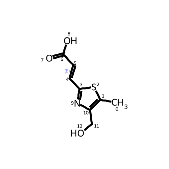 Cc1sc(/C=C/C(=O)O)nc1CO